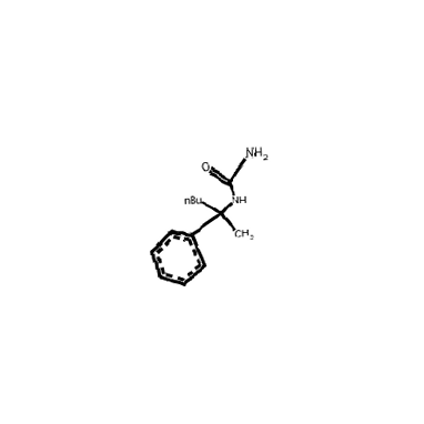 CCCCC(C)(NC(N)=O)c1ccccc1